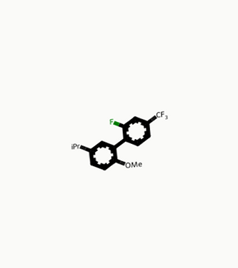 COc1ccc(C(C)C)cc1-c1ccc(C(F)(F)F)cc1F